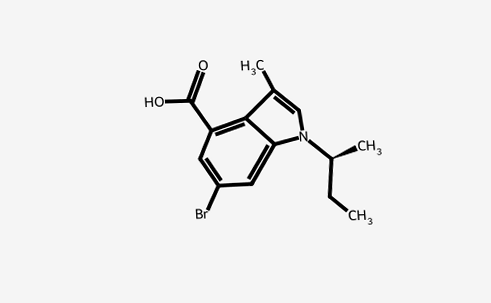 CC[C@H](C)n1cc(C)c2c(C(=O)O)cc(Br)cc21